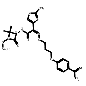 CC1(C)[C@H](NC(=O)/C(=N\OCCCOc2ccc(C(=N)N)cc2)c2csc(N)n2)C(=O)N1OS(=O)(=O)O